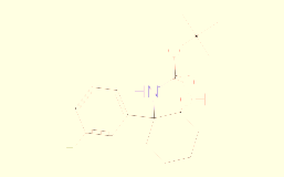 CC(C)(C)OC(=O)NC1(c2cccc(F)c2)CCCCC1O